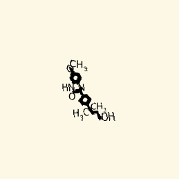 COc1ccc2nc(-c3ccc(C(C)(C)CCCO)cc3)c(=O)[nH]c2c1